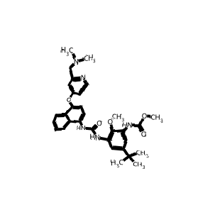 COC(=O)Nc1cc(C(C)(C)C)cc(NC(=O)Nc2ccc(Oc3ccnc(CN(C)C)c3)c3ccccc23)c1OC